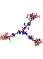 CC(C)NC(CCC(=O)NCCCCNC(=O)CCCCCO[C@@H]1OC(CO)[C@H](O)C(O)[C@@H]1C)(CCC(=O)NCCCCNC(=O)CCCCCO[C@@H]1OC(CO)[C@H](O)C(O)[C@@H]1C)CCC(=O)NCCCCNC(=O)CCCCCO[C@@H]1OC(CO)[C@H](O)C(O)[C@@H]1C